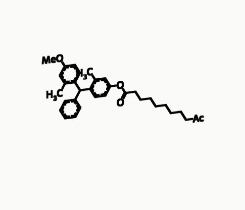 COc1ccc(C(c2ccccc2)c2ccc(OC(=O)CCCCCCCCC(C)=O)cc2C)c(C)c1